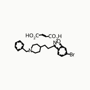 Brc1ccc2c(CCC3CCN(Cc4ccccc4)CC3)noc2c1.O=C(O)C=CC(=O)O